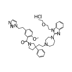 CCOCCn1c(N2CCCN(CCC3(c4ccccc4)CCN(C(=O)c4cc(CCn5ccnn5)ccc4OC)C3)CC2)nc2ccccc21.Cl